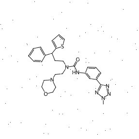 Cn1nnc(-c2cccc(NC(=O)N(CCC(c3ccccc3)c3cccs3)CCN3CCOCC3)c2)n1